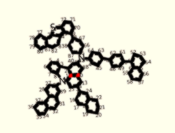 c1cc(-c2ccccc2N(c2cccc(-c3ccc4ccccc4c3)c2)c2ccc3c(ccc4ccccc43)c2)cc(N(c2ccc(-c3ccc(-c4cccc5ccccc45)cc3)cc2)c2ccc(-c3cccc4sc5c6ccccc6ccc5c34)cc2)c1